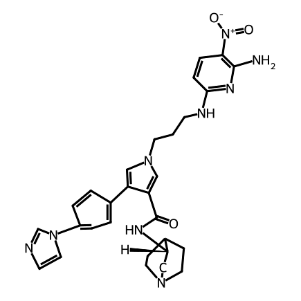 Nc1nc(NCCCn2cc(C(=O)N[C@H]3CN4CCC3CC4)c(-c3ccc(-n4ccnc4)cc3)c2)ccc1[N+](=O)[O-]